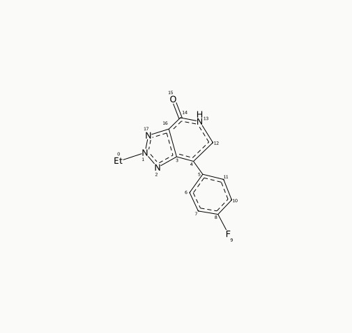 CCn1nc2c(-c3ccc(F)cc3)c[nH]c(=O)c2n1